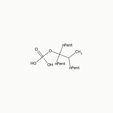 CCCCCC(C)C(CCCCC)(CCCCC)OP(=O)(O)O